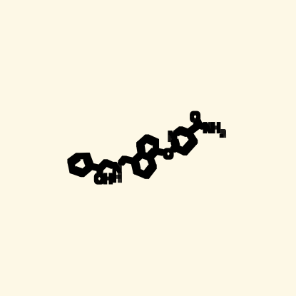 NC(=O)c1ccc(Oc2cccc3c(CNCC(O)c4ccccc4)cccc23)nc1